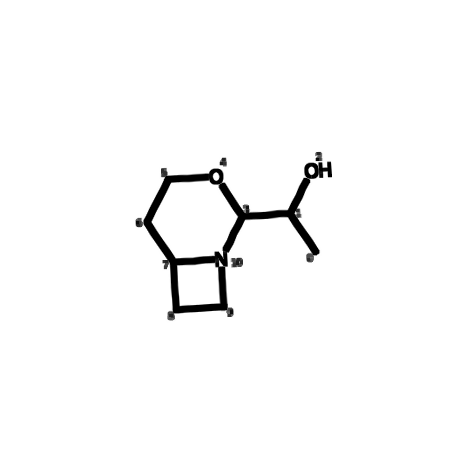 CC(O)C1OCCC2CCN21